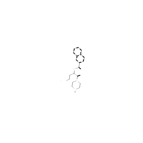 CCOC(=O)N1CCN(C(=O)C(CCC(=O)O)NC(=O)c2ccc3ccccc3c2)CC1